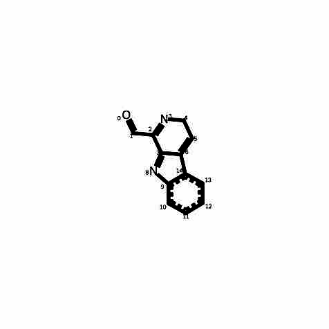 O=CC1=NCC=C2C1=Nc1ccccc12